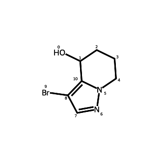 OC1CCCn2ncc(Br)c21